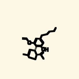 C=COc1cc(CCCCC)cc(O)c1[C@H]1C=C(C)CC[C@@H]1C(=C)C